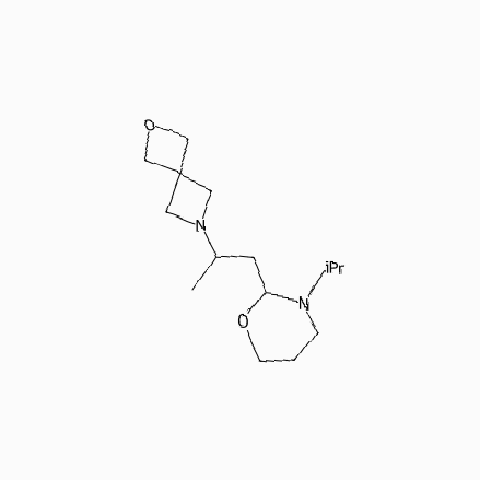 CC(CC1OCCCN1C(C)C)N1CC2(COC2)C1